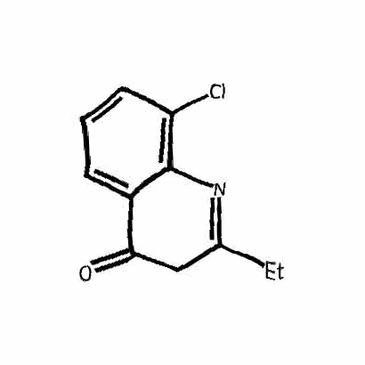 CCC1=Nc2c(Cl)cccc2C(=O)C1